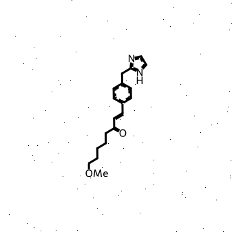 COCCCCCC(=O)C=Cc1ccc(Cc2ncc[nH]2)cc1